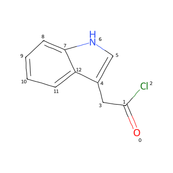 O=C(Cl)Cc1c[nH]c2ccccc12